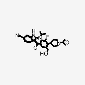 CC(C)n1c2[nH]c3cc(C#N)ccc3c2c(=O)c2cc(CO)c(C3CCN(C4COC4)CC3)c(F)c21